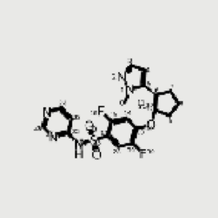 Cn1nccc1[C@H]1CCC[C@@]1(C)Oc1cc(F)c(S(=O)(=O)Nc2ccncn2)cc1F